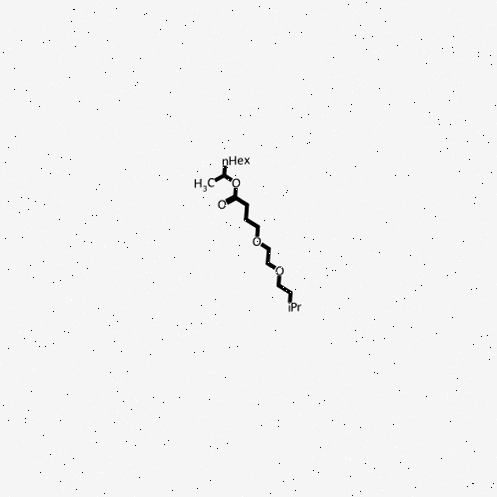 CCCCCCC(C)OC(=O)CCCOCCOCCC(C)C